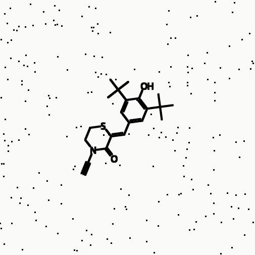 C#CN1CCSC(=Cc2cc(C(C)(C)C)c(O)c(C(C)(C)C)c2)C1=O